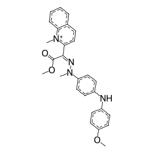 COC(=O)/C(=N\N(C)c1ccc(Nc2ccc(OC)cc2)cc1)c1ccc2ccccc2[n+]1C